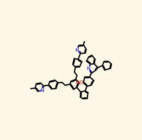 Cc1ccc(-c2ccc(CCc3cc(CCc4ccc(-c5ccc(C)cn5)cc4)cc(-c4ccccc4-c4ccc(-c5cc(-c6ccccc6)c6ccccc6n5)cc4O)c3)cc2)nc1